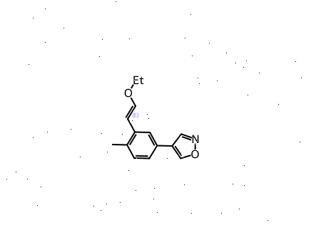 CCO/C=C/c1cc(-c2cnoc2)ccc1C